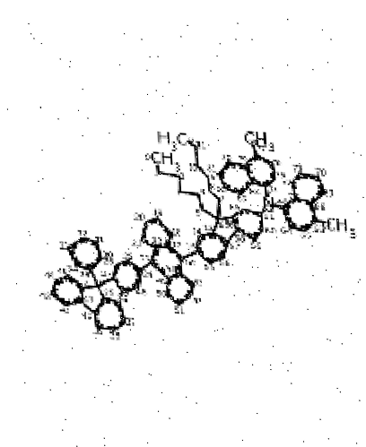 CCCCCCC1(CCCCCC)c2cc(-c3c4ccccc4c(-c4ccc(C5(c6ccccc6)c6ccccc6-c6ccccc65)cc4)c4ccccc34)ccc2-c2ccc(N(c3ccc(C)c4ccccc34)c3ccc(C)c4ccccc34)cc21